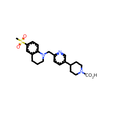 CS(=O)(=O)c1ccc2c(c1)CCCN2Cc1ccc(C2CCN(C(=O)O)CC2)cn1